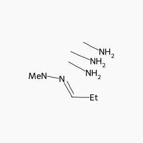 CCC=NNC.CN.CN.CN